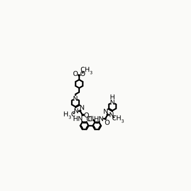 COC(=O)C1CCC(CCN2CCc3c(nc(C(=O)Nc4cccc(-c5cccc(NC(=O)c6nc7c(n6C)CCNC7)c5Cl)c4Cl)n3C)C2)CC1